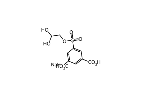 O=C(O)c1cc(C(=O)O)cc(S(=O)(=O)OCC(O)O)c1.[NaH]